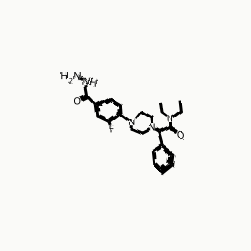 CCN(CC)C(=O)C(c1ccccc1)N1CCN(c2ccc(C(=O)NN)cc2F)CC1